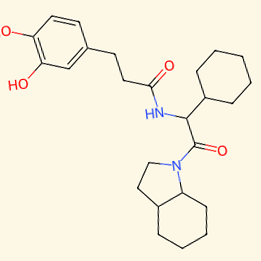 O=C(CCc1ccc(O)c(O)c1)NC(C(=O)N1CCC2CCCCC21)C1CCCCC1